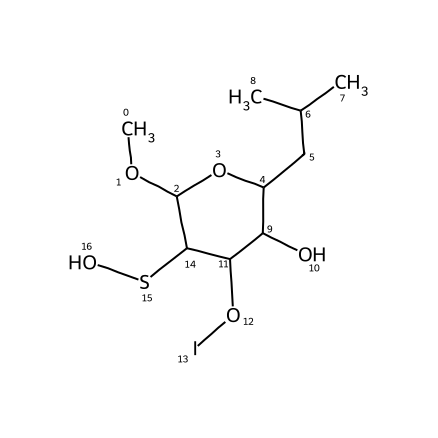 COC1OC(CC(C)C)C(O)C(OI)C1SO